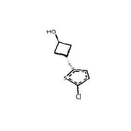 O[C@H]1C[C@H](c2ccc(Cl)s2)C1